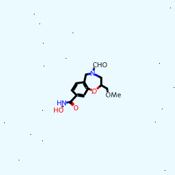 COCC1CN(C=O)Cc2ccc(C(=O)NO)cc2O1